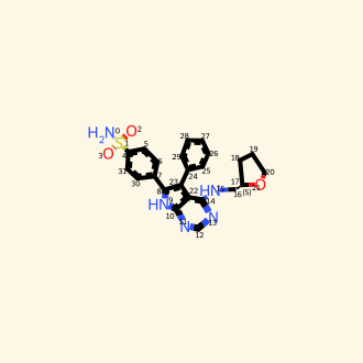 NS(=O)(=O)c1ccc(-c2[nH]c3ncnc(NC[C@@H]4CCCO4)c3c2-c2ccccc2)cc1